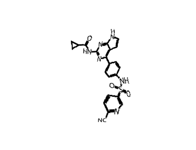 N#Cc1ccc(S(=O)(=O)Nc2ccc(-c3nc(NC(=O)C4CC4)nc4[nH]ccc34)cc2)cn1